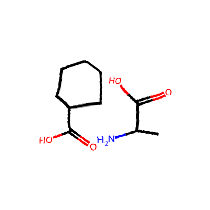 CC(N)C(=O)O.O=C(O)C1CCCCC1